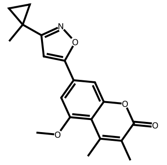 COc1cc(-c2cc(C3(C)CC3)no2)cc2oc(=O)c(C)c(C)c12